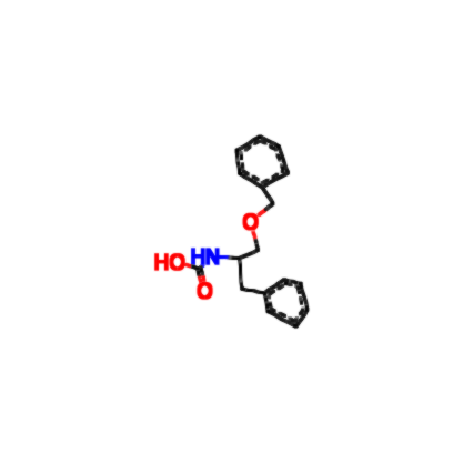 O=C(O)NC(COCc1ccccc1)Cc1ccccc1